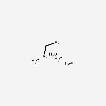 CC(=O)CC(C)=O.O.O.O.[Ce+3]